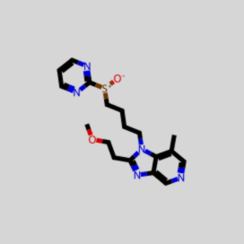 COCCc1nc2cncc(C)c2n1CCCC[S+]([O-])c1ncccn1